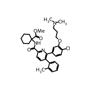 COC(=O)C1(NC(=O)c2ccc(-c3ccccc3C)c(-c3ccc(Cl)c(OCCCN(C)C)c3)n2)CCCCC1